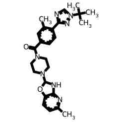 Cc1ccc2c(n1)NC(N1CCN(C(=O)c3ccc(-c4ncn(C(C)(C)C)n4)c(C)c3)CC1)O2